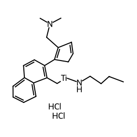 CCCC[NH][Ti][CH2]c1c(C2=C(CN(C)C)C=CC2)ccc2ccccc12.Cl.Cl